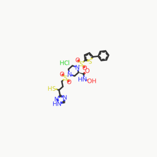 Cl.O=C(NO)[C@H]1CN(S(=O)(=O)CCC(S)c2nc[nH]n2)CCN1S(=O)(=O)c1ccc(-c2ccccc2)s1